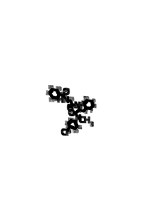 CN(C(=O)C(Cc1ccccc1)NC(=O)CNC(=O)c1ccccc1)c1ccc(Cl)cc1